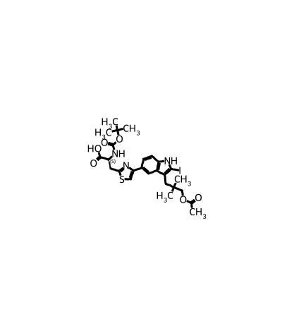 CC(=O)OCC(C)(C)Cc1c(I)[nH]c2ccc(-c3csc(C[C@H](NC(=O)OC(C)(C)C)C(=O)O)n3)cc12